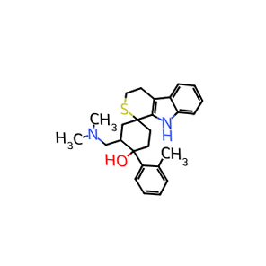 Cc1ccccc1C1(O)CCC2(CC1CN(C)C)SCCc1c2[nH]c2ccccc12